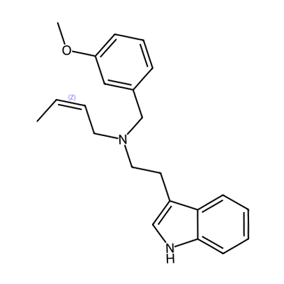 C/C=C\CN(CCc1c[nH]c2ccccc12)Cc1cccc(OC)c1